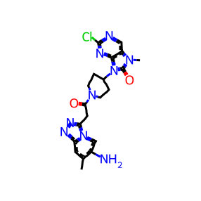 Cc1cc2nnc(CC(=O)N3CCC(n4c(=O)n(C)c5cnc(Cl)nc54)CC3)n2cc1N